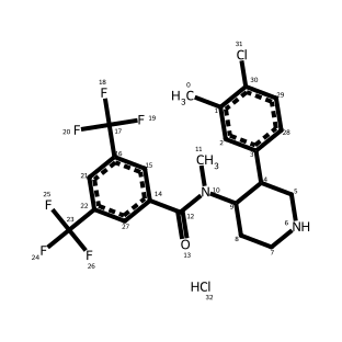 Cc1cc(C2CNCCC2N(C)C(=O)c2cc(C(F)(F)F)cc(C(F)(F)F)c2)ccc1Cl.Cl